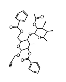 C#CCO[C@@H]1OC(COC(=O)c2ccccc2)[C@@H](S[C@@H]2OC(C)[C@H](C)[C@H](C)C2OC(C)=O)[C@H](C)C1OC(=O)c1ccccc1